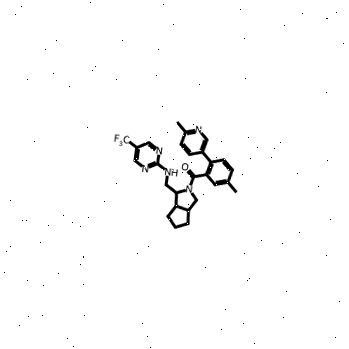 Cc1ccc(-c2ccc(C)nc2)c(C(=O)N2CC3CCCC3C2CNc2ncc(C(F)(F)F)cn2)c1